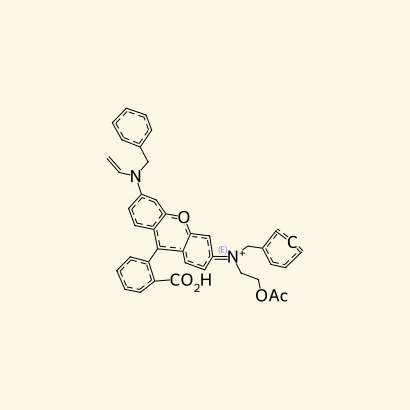 C=CN(Cc1ccccc1)c1ccc2c(-c3ccccc3C(=O)O)c3cc/c(=[N+](\CCOC(C)=O)Cc4ccccc4)cc-3oc2c1